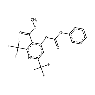 COC(=O)c1c(OC(=O)Oc2ccccc2)cc(C(F)(F)F)nc1C(F)(F)F